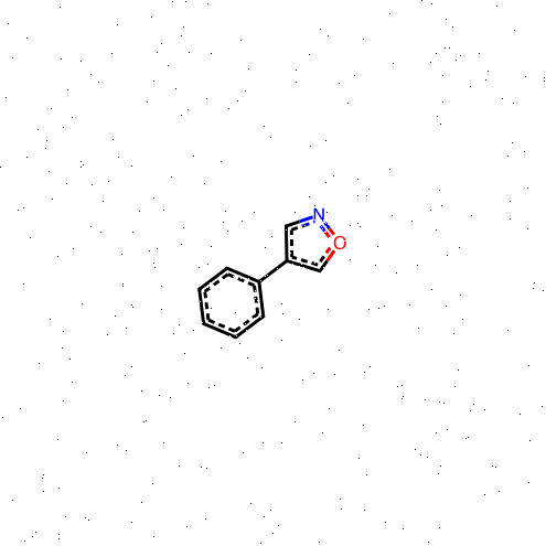 c1ccc(-c2cnoc2)cc1